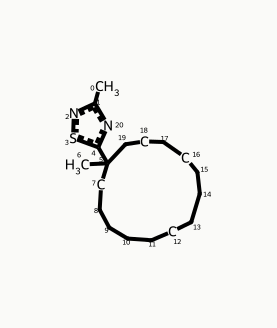 Cc1nsc(C2(C)CCCCCCCCCCCCC2)n1